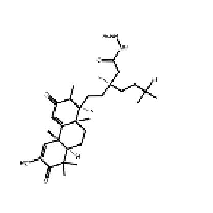 CCC(C)(C)CC[C@@](C)(CC[C@]1(C)C(C)C(=O)C=C2[C@@]3(C)C=C(C#N)C(=O)C(C)(C)[C@@H]3CC[C@]21C)CC(=O)NNC(C)=O